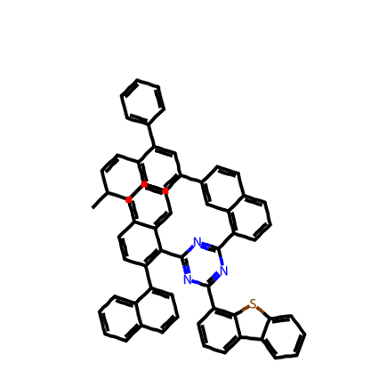 CC1C=Cc2c(cc(-c3ccc4cccc(-c5nc(-c6c(-c7cccc8ccccc78)ccc7ccccc67)nc(-c6cccc7c6sc6ccccc67)n5)c4c3)cc2-c2ccccc2)C1